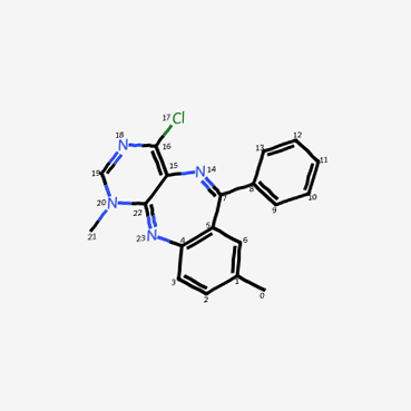 Cc1ccc2c(c1)C(c1ccccc1)=NC1=C(Cl)N=CN(C)C1=N2